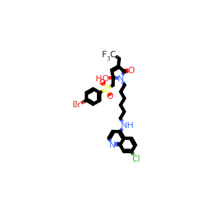 O=C1C(CC(F)(F)F)=CC(O)(CS(=O)(=O)c2ccc(Br)cc2)N1CCCCCCNc1ccnc2cc(Cl)ccc12